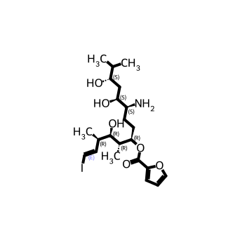 CC(C)[C@@H](O)C[C@H](O)[C@@H](N)CC[C@@H](OC(=O)c1ccco1)[C@H](C)[C@H](O)[C@H](C)/C=C/I